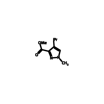 COC(=O)c1nn(C)cc1C(C)C